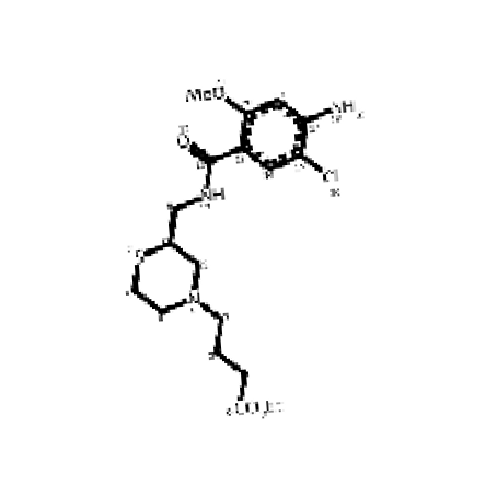 CCOC(=O)CCCN1CCSC(CNC(=O)c2cc(Cl)c(N)cc2OC)C1